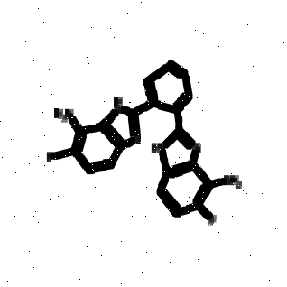 Nc1c(F)ccc2[nH]c(-c3ccccc3-c3nc4ccc(F)c(N)c4[nH]3)nc12